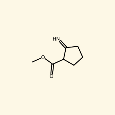 COC(=O)C1CCCC1=N